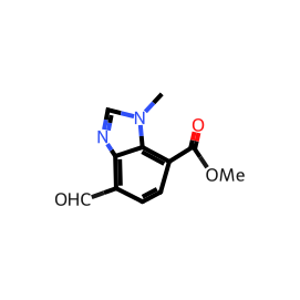 COC(=O)c1ccc(C=O)c2ncn(C)c12